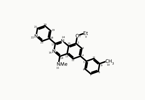 CCOc1cc(-c2cccc(C)c2)cc2c(NC)nc(-c3cccnc3)nc12